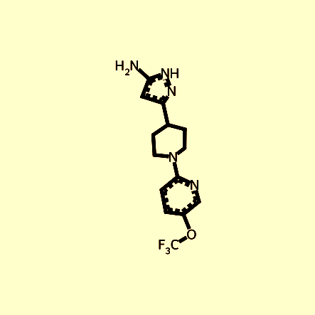 Nc1cc(C2CCN(c3ccc(OC(F)(F)F)cn3)CC2)n[nH]1